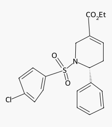 CCOC(=O)C1=CC[C@H](c2ccccc2)N(S(=O)(=O)c2ccc(Cl)cc2)C1